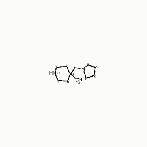 OC1(CN2CCCC2)CCNCC1